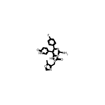 Cc1ocnc1Cn1[nH]c2c(-c3ccc(=O)[nH]c3)c(-c3ccc(F)cc3)nc(N)[n+]2c1=O